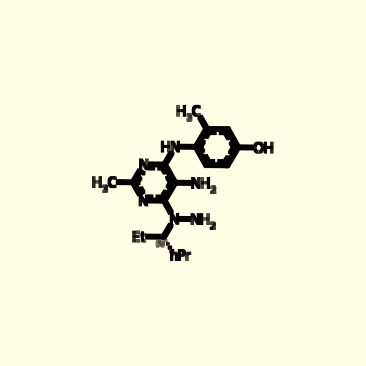 CCC[C@H](CC)N(N)c1nc(C)nc(Nc2ccc(O)cc2C)c1N